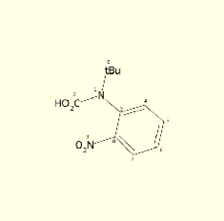 CC(C)(C)N(C(=O)O)c1ccccc1[N+](=O)[O-]